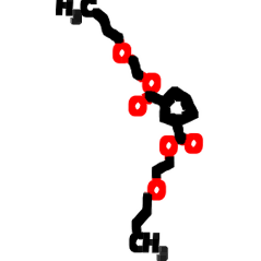 CCCCOCCOC(=O)c1cccc(C(=O)OCCOCCCC)c1